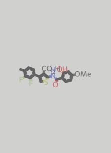 COc1ccc(C(=O)Nc2scc(-c3ccc(C)c(F)c3F)c2C(=O)O)c(O)c1